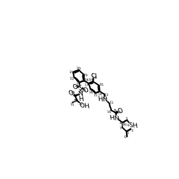 CC(C)C[C@H](CS)NC(=O)CCNCc1ccc(-c2ccccc2S(=O)(=O)NC(=O)[C@H](C)O)c(Cl)c1